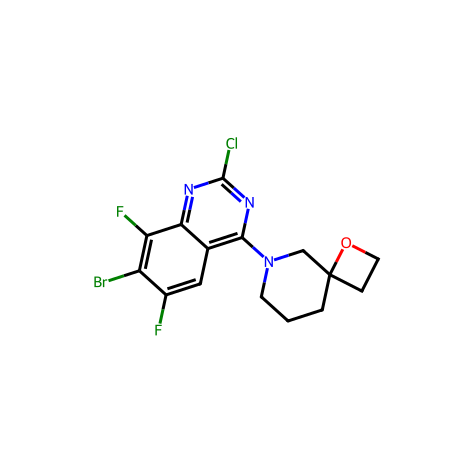 Fc1cc2c(N3CCCC4(CCO4)C3)nc(Cl)nc2c(F)c1Br